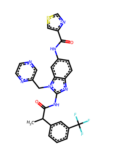 CC(C(=O)Nc1nc2ccc(NC(=O)c3cscn3)cc2n1Cc1cnccn1)c1cccc(C(F)(F)F)c1